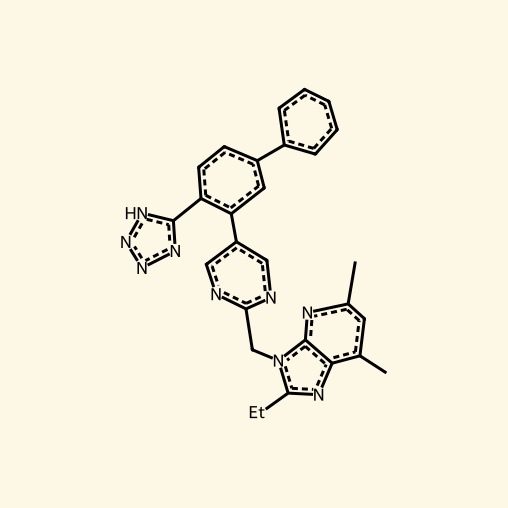 CCc1nc2c(C)cc(C)nc2n1Cc1ncc(-c2cc(-c3ccccc3)ccc2-c2nnn[nH]2)cn1